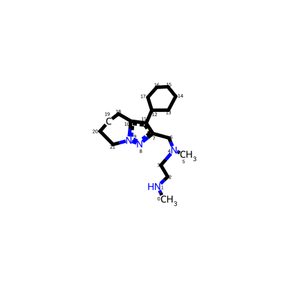 CNCCN(C)Cc1nn2c(c1C1CCCCC1)CCCC2